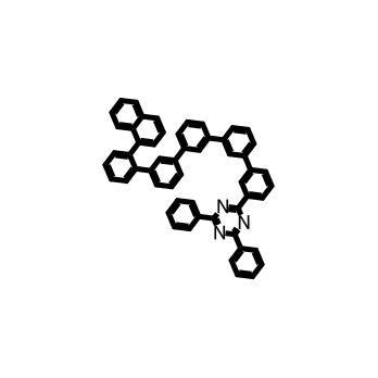 c1ccc(-c2nc(-c3ccccc3)nc(-c3cccc(-c4cccc(-c5cccc(-c6cccc(-c7ccccc7-c7cccc8ccccc78)c6)c5)c4)c3)n2)cc1